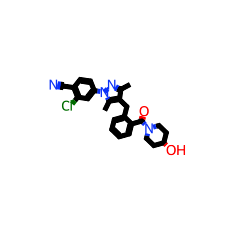 Cc1nn(-c2ccc(C#N)c(Cl)c2)c(C)c1Cc1ccccc1C(=O)N1CCC(O)CC1